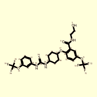 O=C(NCCO)c1cc(OC(F)(F)F)ccc1OC1CCC(NC(=S)Nc2cccc(OC(F)(F)F)c2)CC1